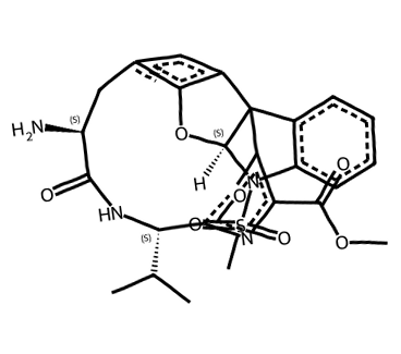 COC(=O)c1nc2oc1C13c4cc(ccc4O[C@@H]1N(S(C)(=O)=O)c1ccccc13)C[C@H](N)C(=O)N[C@H]2C(C)C